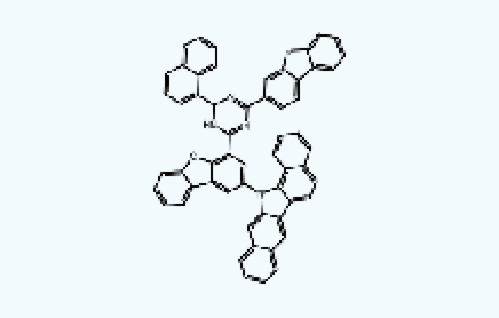 c1ccc2cc3c(cc2c1)c1ccc2ccccc2c1n3-c1cc(C2=NC(c3ccc4c(c3)sc3ccccc34)=NC(c3cccc4ccccc34)N2)c2oc3ccccc3c2c1